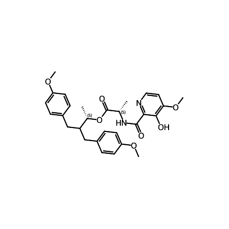 COc1ccc(CC(Cc2ccc(OC)cc2)[C@H](C)OC(=O)[C@H](C)NC(=O)c2nccc(OC)c2O)cc1